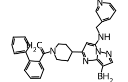 Bc1cnn2c(NCc3cccnc3)cc(C3CCN(C(=C)c4ccccc4-c4ccccc4)CC3)nc12